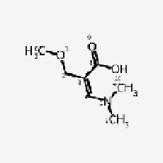 COCC(=CN(C)C)C(=O)O